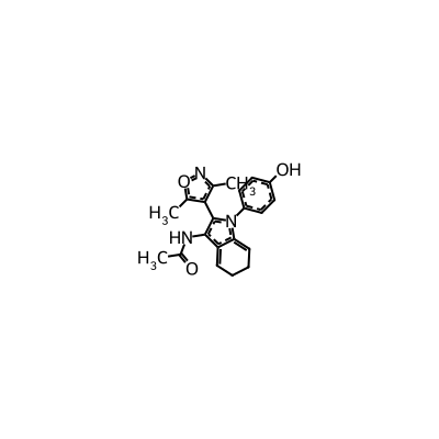 CC(=O)Nc1c(-c2c(C)noc2C)n(-c2ccc(O)cc2)c2c1=CCCC=2